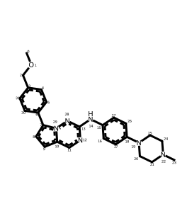 COCc1ccc(-c2ccc3cnc(Nc4ccc(N5CCN(C)CC5)cc4)nn23)cc1